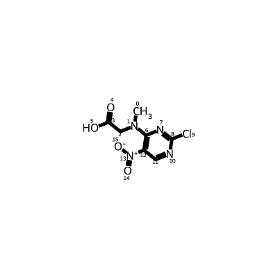 CN(CC(=O)O)c1nc(Cl)ncc1[N+](=O)[O-]